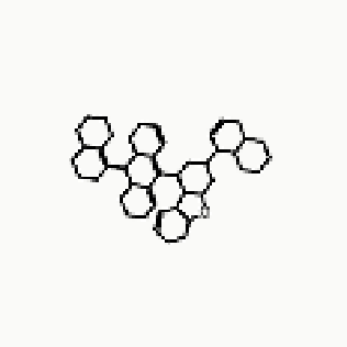 C1=CC2C(CC1)OC1CC(C3C=CCC4CCCCC43)CC(C3=C4C=CCCC4C(C4=C5CCCCC5CCC4)C4CCCC=C34)C12